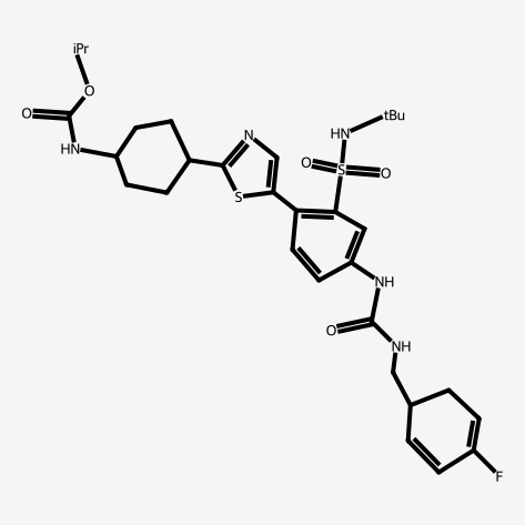 CC(C)OC(=O)NC1CCC(c2ncc(-c3ccc(NC(=O)NCC4C=CC(F)=CC4)cc3S(=O)(=O)NC(C)(C)C)s2)CC1